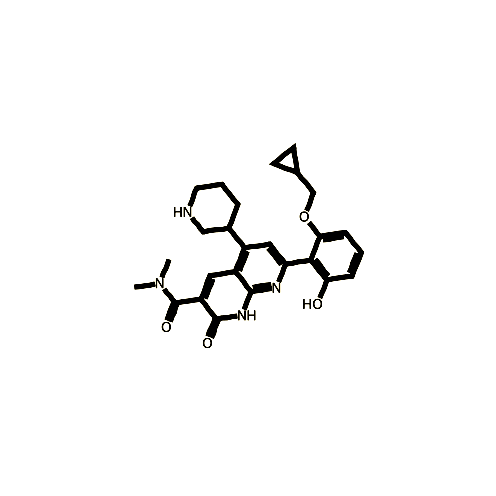 CN(C)C(=O)c1cc2c(C3CCCNC3)cc(-c3c(O)cccc3OCC3CC3)nc2[nH]c1=O